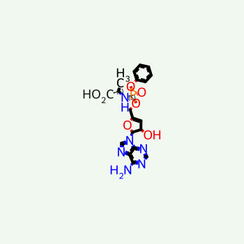 C[C@H](N[P@](=O)(OCC1=CC(O)C(n2cnc3c(N)ncnc32)O1)Oc1ccccc1)C(=O)O